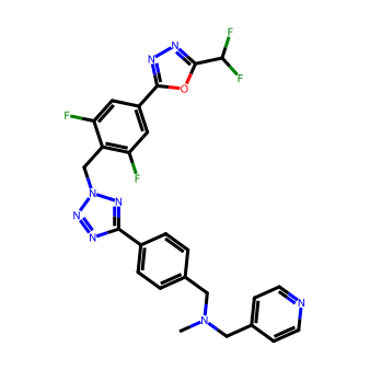 CN(Cc1ccncc1)Cc1ccc(-c2nnn(Cc3c(F)cc(-c4nnc(C(F)F)o4)cc3F)n2)cc1